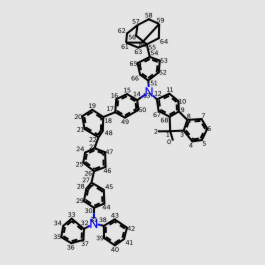 CC1(C)c2ccccc2-c2ccc(N(c3ccc(-c4cccc(-c5ccc(-c6ccc(N(c7ccccc7)c7ccccc7)cc6)cc5)c4)cc3)c3ccc(C45CC6CC(CC(C6)C4)C5)cc3)cc21